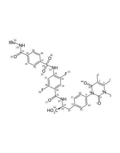 Cc1c(C)n(C)c(=O)n(-c2ccc(C[C@H](NC(=O)c3cc(F)c(NS(=O)(=O)c4ccc(C(=O)NC(C)(C)C)cc4)cc3F)C(=O)O)cc2)c1=O